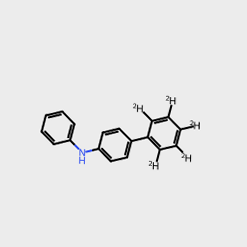 [2H]c1c([2H])c([2H])c(-c2ccc(Nc3ccccc3)cc2)c([2H])c1[2H]